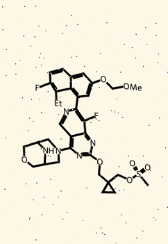 CCc1c(F)ccc2cc(OCOC)cc(-c3ncc4c(N5CC6COCC(C5)N6)nc(OCC5(COS(C)(=O)=O)CC5)nc4c3F)c12